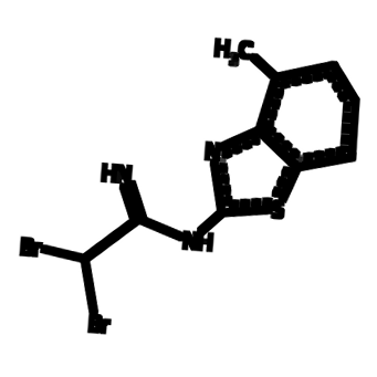 Cc1cccc2sc(NC(=N)C(Br)Br)nc12